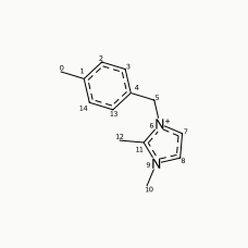 Cc1ccc(C[n+]2ccn(C)c2C)cc1